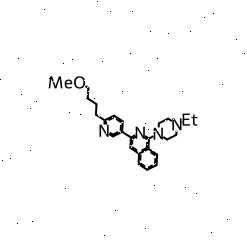 CCN1CCN(c2nc(-c3ccc(CCCCOC)nc3)cc3ccccc23)CC1